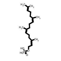 CC(C)=CCC/C(C)=C\CC/C(C)=C\CC/C(C)=C\COP(=O)(O)O